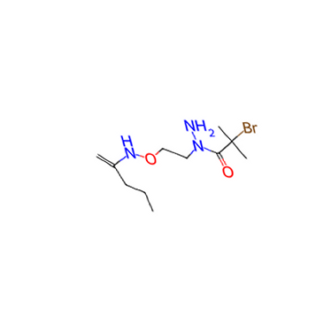 C=C(CCC)NOCCN(N)C(=O)C(C)(C)Br